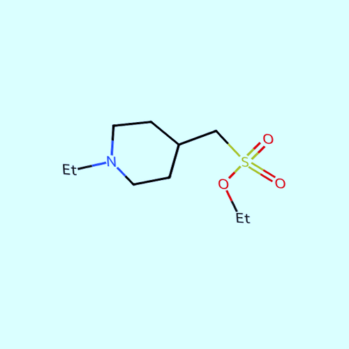 CCOS(=O)(=O)CC1CCN(CC)CC1